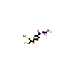 BC(=O)CNC(=O)c1ccc(C(=O)C(CS)CSC(C)CC)cc1